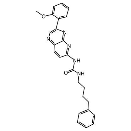 COc1ccccc1-c1cnc2ccc(NC(=O)NCCCCc3ccccc3)nc2n1